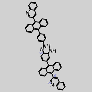 C/N=C\C(=C/c1ccccc1)c1c2ccccc2c(C2=CC(=N)/C(=N\Nc3ccc(-c4c5ccccc5c(-c5cnc6ccccc6c5)c5ccccc45)cc3)C=C2)c2ccccc12